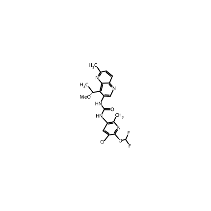 CO[C@H](C)c1c(NC(=O)Nc2cc(Cl)c(OC(F)F)nc2C)cnc2ccc(C)nc12